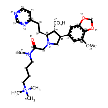 CCCCN(CCCC[N+](C)(C)C)C(=O)CN1C[C@H](c2cc(OC)c3c(c2)OCO3)[C@@H](C(=O)O)[C@@H]1CCc1ccncn1